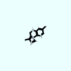 Cc1cnc2c(c1)OCc1c(C)ncn1-2